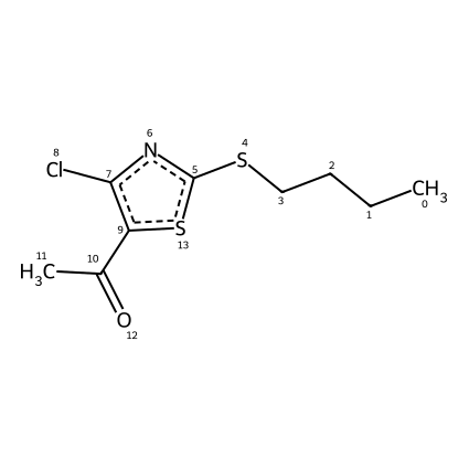 CCCCSc1nc(Cl)c(C(C)=O)s1